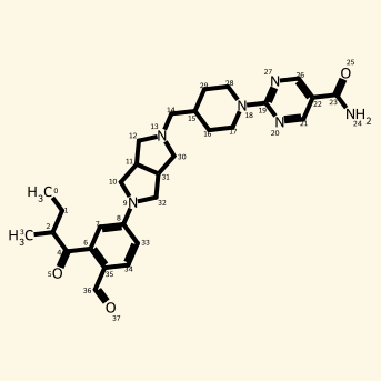 CCC(C)C(=O)c1cc(N2CC3CN(CC4CCN(c5ncc(C(N)=O)cn5)CC4)CC3C2)ccc1C=O